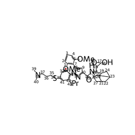 COc1cccc(OC)c1-c1cc(C(=O)NC2(C3OC3O)C3CC4CC(C3)CC2C4)nn1-c1ccc(SCCCN(C)C)cc1C(C)C